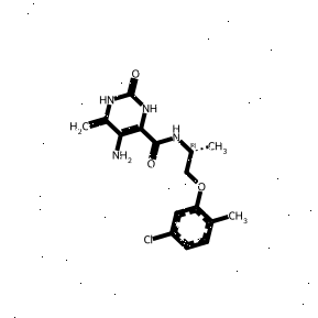 C=C1NC(=O)NC(C(=O)N[C@H](C)COc2cc(Cl)ccc2C)=C1N